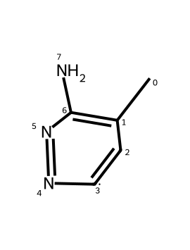 Cc1c[c]nnc1N